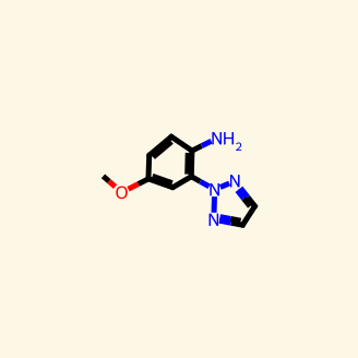 COc1ccc(N)c(-n2nccn2)c1